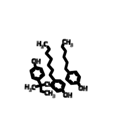 CCC(C)(C)c1ccc(O)cc1.CCCCCCCc1ccc(O)cc1.CCCCCCc1ccc(O)cc1